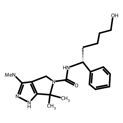 CNc1n[nH]c2c1CN(C(=O)N[C@H](CCCCO)c1ccccc1)C2(C)C